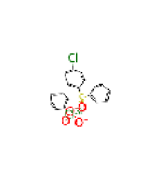 [O-][Cl+3]([O-])([O-])OS(c1ccccc1)(c1ccccc1)c1ccc(Cl)cc1